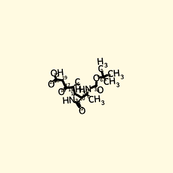 C[C@@H](NC(=O)OC(C)(C)C)[C@H]1C(=O)N[C@@H]1[C@@H](C)C(=O)CC(=O)O